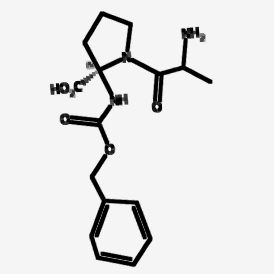 CC(N)C(=O)N1CCC[C@@]1(NC(=O)OCc1ccccc1)C(=O)O